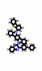 c1ccc(-c2ccc(-c3nc4ccccc4nc3-n3c4ccccc4c4cc5c(cc43)c3ccccc3n5-c3cccc4c3sc3ccccc34)cc2)cc1